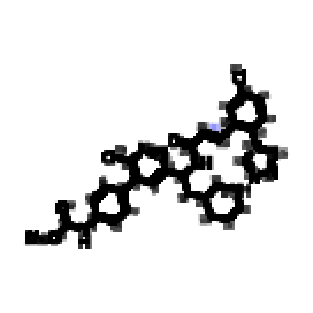 COC(=O)Nc1ccc(-c2cc(C(CC3CCCNC3)NC(=O)/C=C/c3cc(Cl)ccc3-n3cnnn3)nnc2Cl)cc1